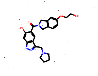 O=C(c1cc2c(CN3CCCC3)n[nH]c2cc1O)N1Cc2ccc(OCCO)cc2C1